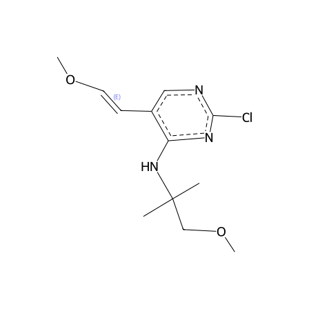 CO/C=C/c1cnc(Cl)nc1NC(C)(C)COC